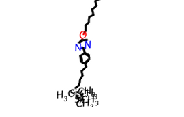 CCCCCCCCCCOc1cnc(-c2ccc(CCCCCC[Si](C)(C)C[Si](C)(C)C)cc2)nc1